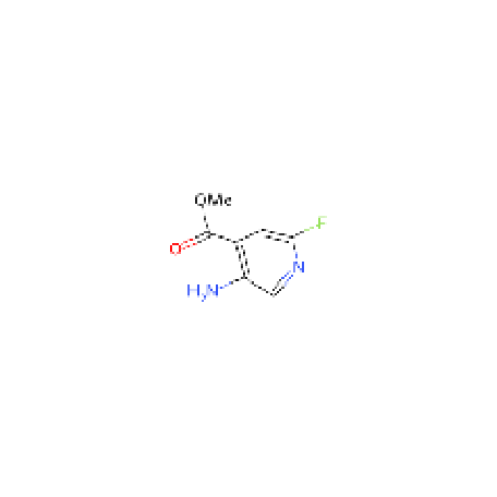 COC(=O)c1cc(F)ncc1N